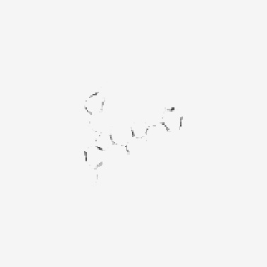 COc1ccc2c(c1)c(C(=O)c1coc(-c3ccccn3)n1)c(C)n2Cc1ccc(Cl)cc1